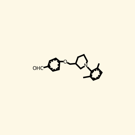 Cc1cccc(C)c1N1CCCC(COc2ccc(C=O)cc2)C1